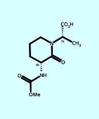 COC(=O)N[C@@H]1CCCN([C@@H](C)C(=O)O)C1=O